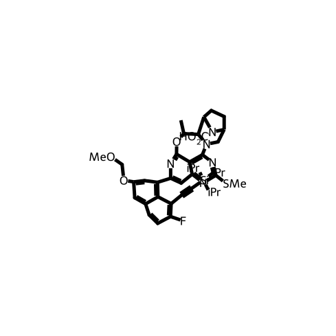 COCOc1cc(-c2cc3nc(SC)nc4c3c(n2)OC(C)C2C3CCC(CN42)N3C(=O)O)c2c(C#C[Si](C(C)C)(C(C)C)C(C)C)c(F)ccc2c1